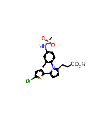 Cc1cc(NS(C)(=O)=O)ccc1-n1c(CCC(=O)O)ccc1-c1ccc(Br)s1